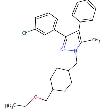 Cc1c(-c2ccccc2)c(-c2cccc(Cl)c2)nn1CC1CCC(COCC(=O)O)CC1